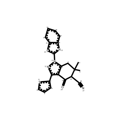 CC1(C)Cc2c(c(-c3cccs3)nn2-c2nc3ccccc3s2)C(=O)C1C#N